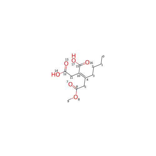 CCCCC(CC(=O)OC)=C(CC(=O)O)C(=O)O